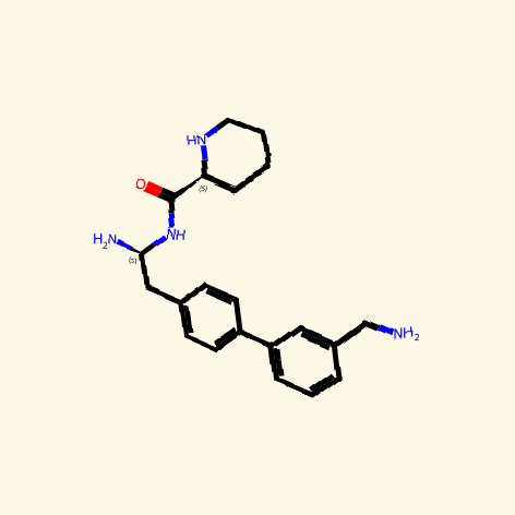 NCc1cccc(-c2ccc(C[C@@H](N)NC(=O)[C@@H]3CCCCN3)cc2)c1